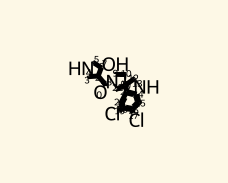 O=C(C1CNCC1O)N1CC[C@]2(CNc3cc(Cl)c(Cl)cc32)C1